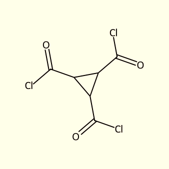 O=C(Cl)C1C(C(=O)Cl)C1C(=O)Cl